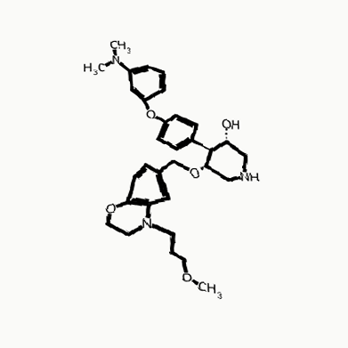 COCCCN1CCOc2ccc(CO[C@H]3CNC[C@@H](O)[C@@H]3c3ccc(Oc4cccc(N(C)C)c4)cc3)cc21